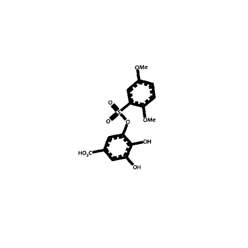 COc1ccc(OC)c(S(=O)(=O)Oc2cc(C(=O)O)cc(O)c2O)c1